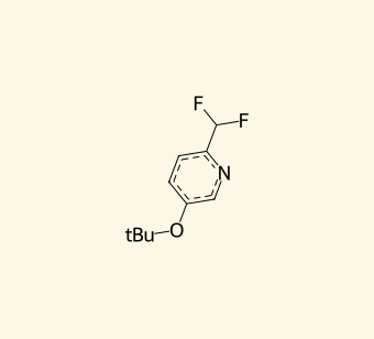 CC(C)(C)Oc1ccc(C(F)F)nc1